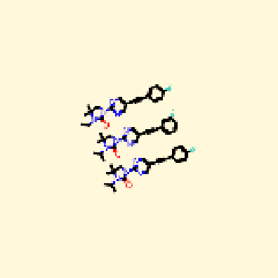 CC(C)N1C(=O)N(c2ncc(C#Cc3ccc(F)cc3)cn2)CC1(C)C.CC(C)N1C(=O)N(c2ncc(C#Cc3cccc(F)c3)cn2)CC1(C)C.CCN1C(=O)N(c2ncc(C#Cc3ccc(F)cc3)cn2)CC1(C)C